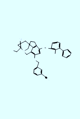 Cc1c(COc2cc(OCc3cccc(C#N)c3)c3c4c2CCC42CN(C3)C3(CO)CC3(N)C2)cccc1-c1ccccc1